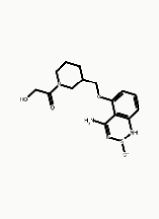 NC1=N[S+]([O-])Nc2cccc(OCC3CCCN(C(=O)CO)C3)c21